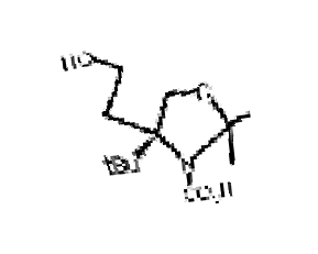 CC1(C)OC[C@](CCO)(C(C)(C)C)N1C(=O)O